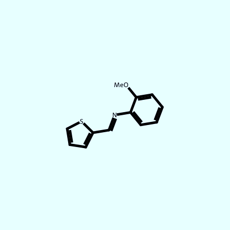 COc1ccccc1/N=C/c1cccs1